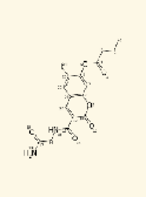 CCCC(=O)Oc1cc2oc(=O)c(C(=O)NCC(N)=O)cc2cc1I